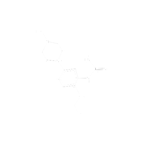 CN1CCN(c2ccc(OCC(F)(F)F)c(NC(=N)N)c2)CC1